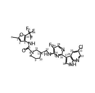 Cc1cc(NC(=O)N2CCC[C@H](CNc3nc(-c4c[nH]c5ncc(Cl)cc45)ncc3F)C2)c(C(F)(F)F)o1